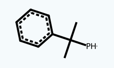 CC(C)([PH])c1ccccc1